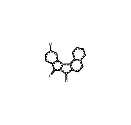 O=c1c2ccc(Cl)cc2n2c3c(ccc4ccccc43)c(=O)n12